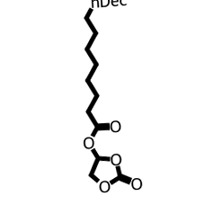 CCCCCCCCCCCCCCCCCC(=O)OC1COC(=O)O1